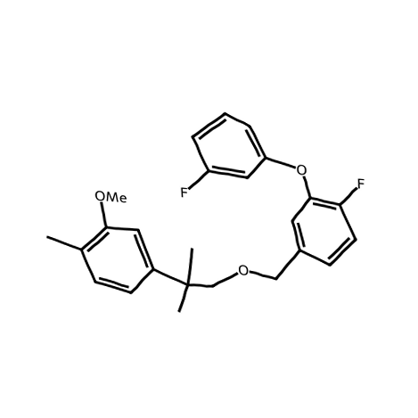 COc1cc(C(C)(C)COCc2ccc(F)c(Oc3cccc(F)c3)c2)ccc1C